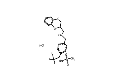 CS(=O)(=O)N[C@@H](c1ccc(CNCC2COc3ccccc3O2)cc1)C(F)(F)F.Cl